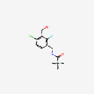 CC(C)(C)C(=O)NCc1ccc(Cl)c(CO)c1F